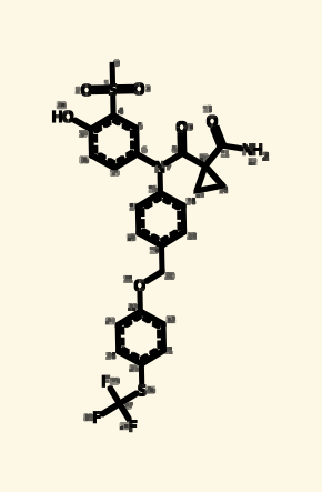 CS(=O)(=O)c1cc(N(C(=O)C2(C(N)=O)CC2)c2ccc(COc3ccc(SC(F)(F)F)cc3)cc2)ccc1O